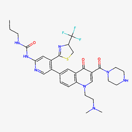 CCCNC(=O)Nc1cc(C2=NC(C(F)(F)F)CS2)c(-c2ccc3c(c2)c(=O)c(C(=O)N2CCNCC2)cn3CCN(C)C)cn1